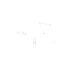 CCCC1(C(=O)NC)CC1